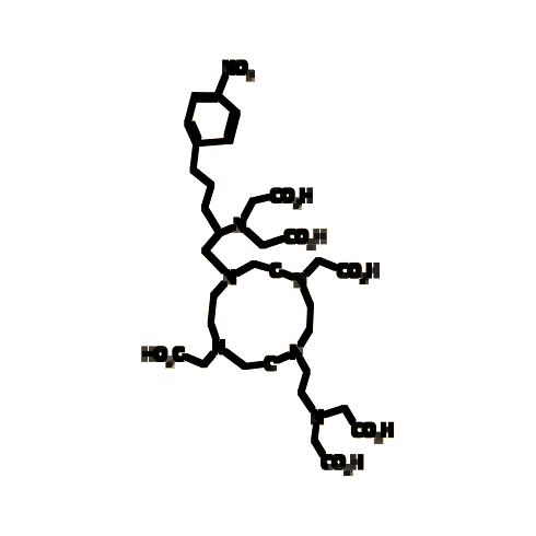 O=C(O)CN1CCN(CCN(CC(=O)O)CC(=O)O)CCN(CC(=O)O)CCN(CC(CCCc2ccc([N+](=O)[O-])cc2)N(CC(=O)O)CC(=O)O)CC1